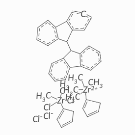 [CH3][Zr+2]([CH3])([CH3])([CH3])[C]1=CC=CC1.[CH3][Zr]([CH3])([Cl])([Cl])[C]1=CC=CC1.[Cl-].[Cl-].c1ccc2c(c1)-c1ccccc1C2C1c2ccccc2-c2ccccc21